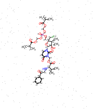 CC(C)C(=O)OCOP(=O)(OCOC(=O)C(C)C)OC[C@@]1(CF)O[C@@H](n2ccc(=O)n(COC(=O)C(NCC(=O)c3ccccc3)C(C)C)c2=O)[C@](C)(O)[C@@H]1C